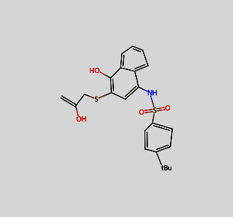 C=C(O)CSc1cc(NS(=O)(=O)c2ccc(C(C)(C)C)cc2)c2ccccc2c1O